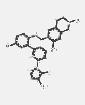 Cc1ccc(OCc2cc3c(cc2C)CN(C)CC3)c(-c2cccc(-n3ncc(C(=O)O)c3C(F)(F)F)n2)c1